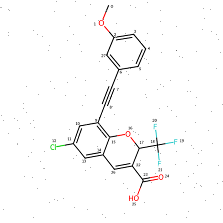 COc1cccc(C#Cc2cc(Cl)cc3c2OC(C(F)(F)F)C(C(=O)O)=C3)c1